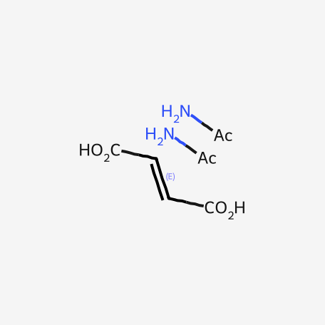 CC(N)=O.CC(N)=O.O=C(O)/C=C/C(=O)O